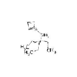 CCC(CC)(CC)[SiH2][Si]1=CC=C1